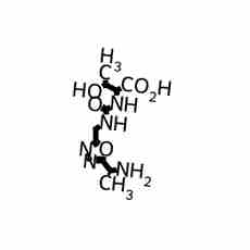 CC(O)C(NC(=O)NCc1nnc([C@H](C)N)o1)C(=O)O